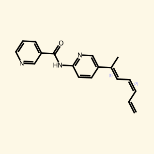 C=C/C=C\C=C(/C)c1ccc(NC(=O)c2cccnc2)nc1